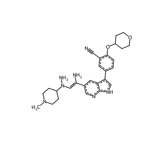 CN1CCC(N(N)/C=C(\N)c2cnc3[nH]cc(-c4ccc(OC5CCOCC5)c(C#N)c4)c3c2)CC1